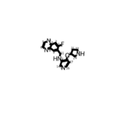 Fc1cc2nccnc2cc1CNc1cnccc1OC1CCNC1